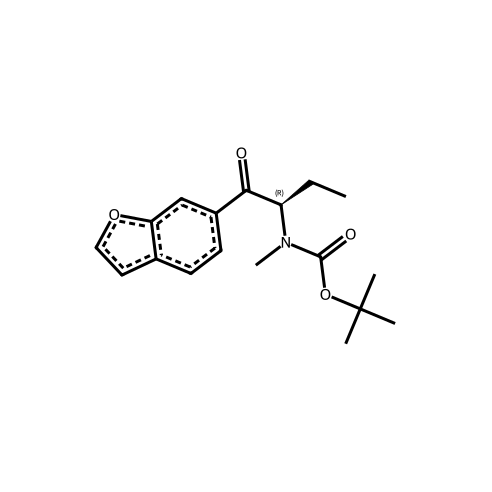 CC[C@H](C(=O)c1ccc2ccoc2c1)N(C)C(=O)OC(C)(C)C